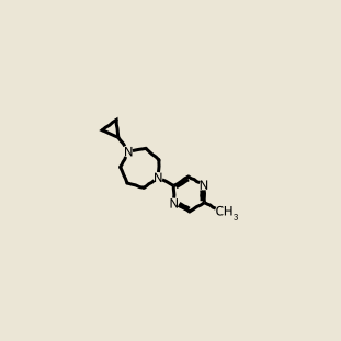 Cc1cnc(N2CCCN(C3CC3)CC2)cn1